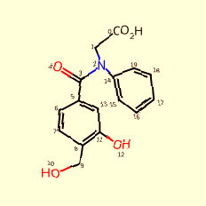 O=C(O)CN(C(=O)c1ccc(CO)c(O)c1)c1ccccc1